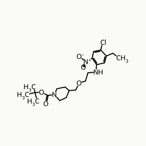 CCc1cc(NCCOCC2CCN(C(=O)OC(C)(C)C)CC2)c([N+](=O)[O-])cc1Cl